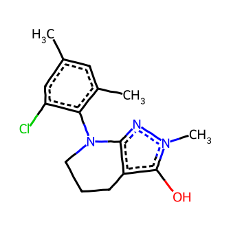 Cc1cc(C)c(N2CCCc3c2nn(C)c3O)c(Cl)c1